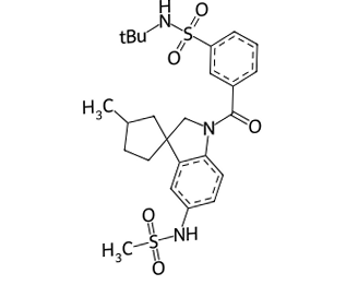 CC1CCC2(C1)CN(C(=O)c1cccc(S(=O)(=O)NC(C)(C)C)c1)c1ccc(NS(C)(=O)=O)cc12